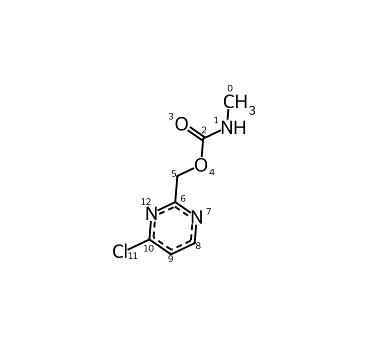 CNC(=O)OCc1nccc(Cl)n1